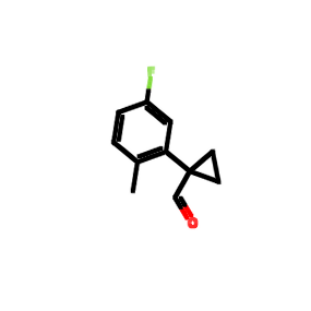 Cc1ccc(F)cc1C1(C=O)CC1